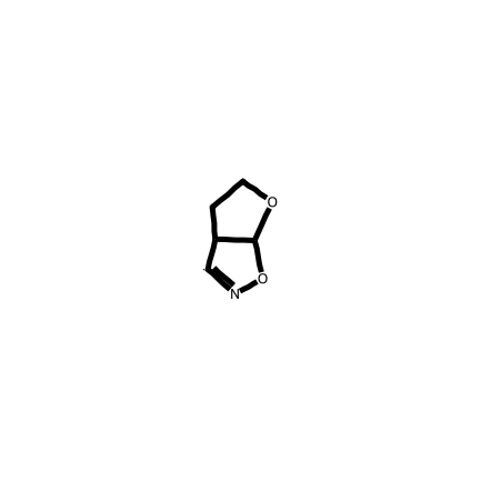 [C]1=NOC2OCCC12